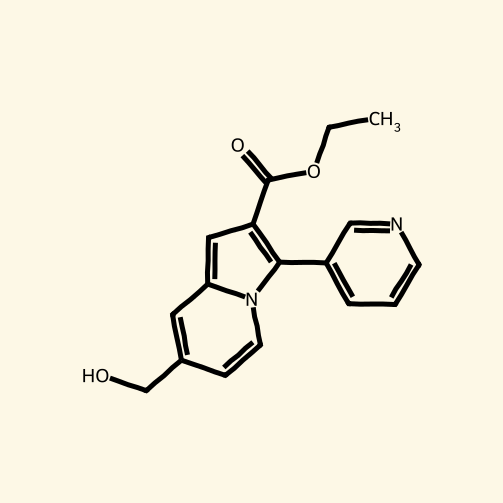 CCOC(=O)c1cc2cc(CO)ccn2c1-c1cccnc1